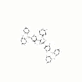 Cc1cc(N2c3ccccc3Oc3ccccc32)ccc1-c1nc(-c2ccc(N3c4ccccc4Oc4ccccc43)cc2C)n(-c2ccccc2)n1